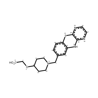 O=C(O)COC1CCN(Cc2ccc3c(c2)Nc2nccnc2S3)CC1